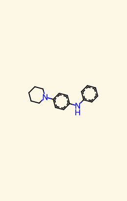 c1ccc(Nc2ccc(N3CCCCC3)cc2)cc1